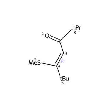 CCCC(=O)/C=C(\SC)C(C)(C)C